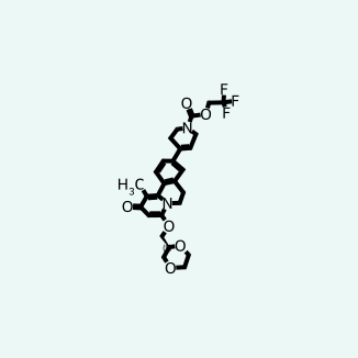 Cc1c2n(c(OC[C@@H]3COCCO3)cc1=O)CCc1cc(C3=CCN(C(=O)OCC(F)(F)F)CC3)ccc1-2